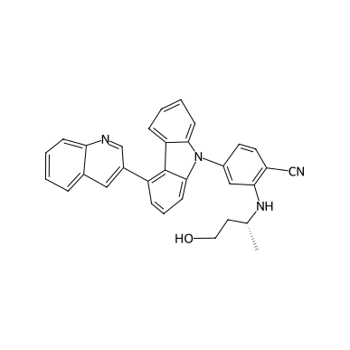 C[C@H](CCO)Nc1cc(-n2c3ccccc3c3c(-c4cnc5ccccc5c4)cccc32)ccc1C#N